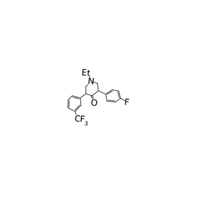 CCN1CC(c2ccc(F)cc2)C(=O)C(c2cccc(C(F)(F)F)c2)C1